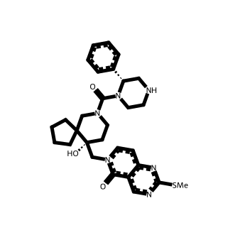 CSc1ncc2c(=O)n(C[C@]3(O)CCN(C(=O)N4CCNC[C@H]4c4ccccc4)CC34CCCC4)ccc2n1